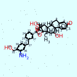 C[C@]12C=CC(=O)C=C1CC[C@@H]1[C@@H]2[C@@H](O)C[C@@]2(C)[C@H]1C[C@H]1O[C@@H](c3cccc(Cc4ccc(CO)c(N)c4)c3)O[C@]12C(=O)CO